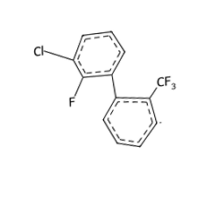 Fc1c(Cl)cccc1-c1ccc[c]c1C(F)(F)F